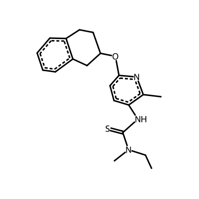 CCN(C)C(=S)Nc1ccc(OC2CCc3ccccc3C2)nc1C